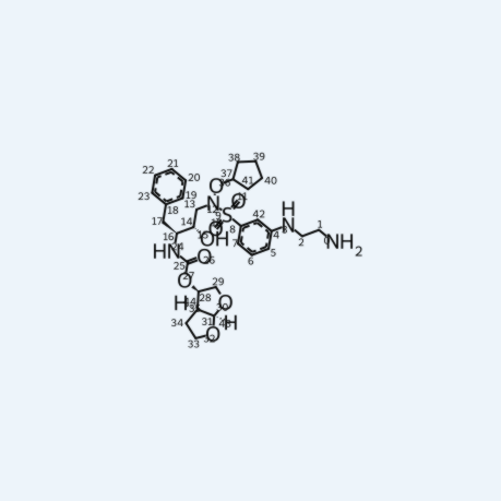 NCCNc1cccc(S(=O)(=O)N(C[C@H](O)[C@H](Cc2ccccc2)NC(=O)O[C@H]2CO[C@H]3OCC[C@H]32)OC2CCCC2)c1